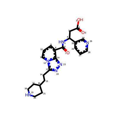 O=C(O)CC(NC(=O)c1cccn2c(CCC3CCNCC3)nnc12)c1cccnc1